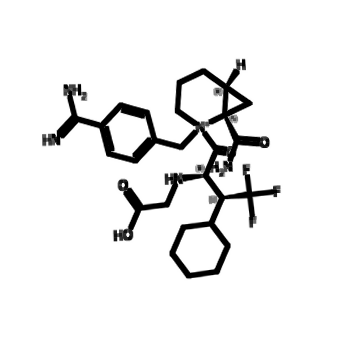 N=C(N)c1ccc(C[N+]2(C(=O)[C@H](NCC(=O)O)[C@H](C3CCCCC3)C(F)(F)F)CCC[C@@H]3C[C@@]32C(N)=O)cc1